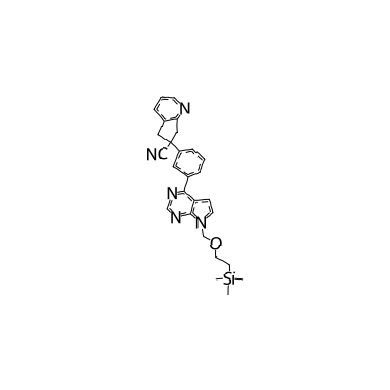 C[Si](C)(C)CCOCn1ccc2c(-c3cccc(C4(C#N)Cc5cccnc5C4)c3)ncnc21